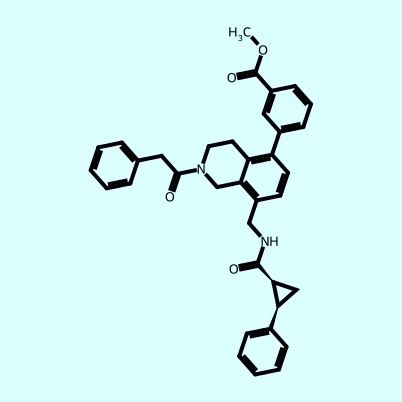 COC(=O)c1cccc(-c2ccc(CNC(=O)[C@H]3C[C@H]3c3ccccc3)c3c2CCN(C(=O)Cc2ccccc2)C3)c1